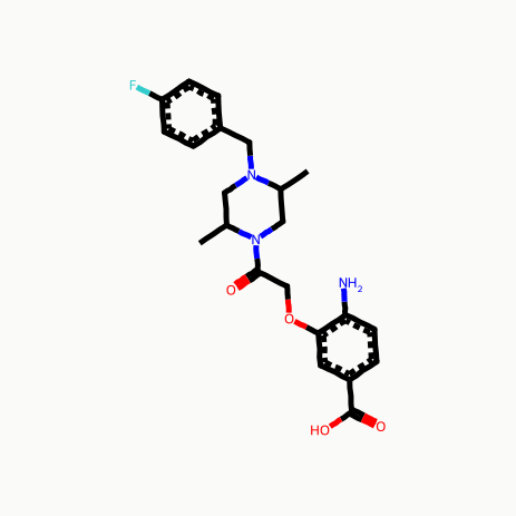 CC1CN(C(=O)COc2cc(C(=O)O)ccc2N)C(C)CN1Cc1ccc(F)cc1